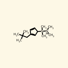 C[SiH](C)[Si](C)(C)C1C=CC(CC(C)(C)C)=C1